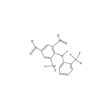 CN(c1ccccc1C(F)(F)F)c1c([N+](=O)[O-])cc([N+](=O)[O-])cc1C(F)(F)F